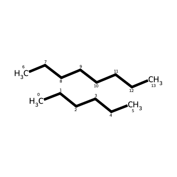 CCCCCC.CCCCCCCC